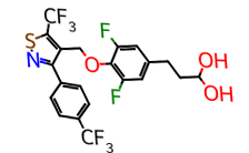 OC(O)CCc1cc(F)c(OCc2c(-c3ccc(C(F)(F)F)cc3)nsc2C(F)(F)F)c(F)c1